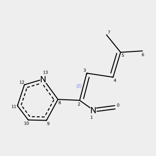 C=N/C(=C\C=C(C)C)c1ccccn1